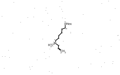 C=CCN(C)CCCCCCCCCCCC